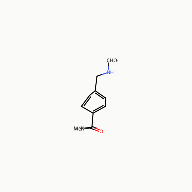 CNC(=O)c1ccc(CN[C]=O)cc1